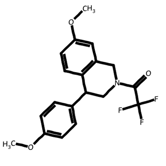 COc1ccc(C2CN(C(=O)C(F)(F)F)Cc3cc(OC)ccc32)cc1